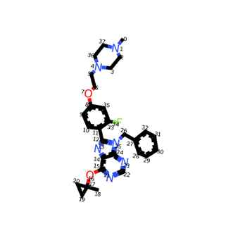 CN1CCN(CCOc2ccc(-c3nc4c(OC5(C)CC5)ncnc4n3Cc3ccccc3)c(F)c2)CC1